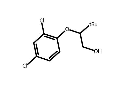 CC(C)(C)C(CO)Oc1ccc(Cl)cc1Cl